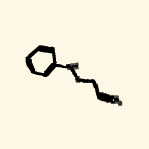 C=CCSNc1ccccc1